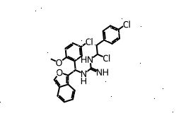 COc1ccc(Cl)cc1C(NC(=N)NC(Cl)Cc1ccc(Cl)cc1)c1occ2ccccc12